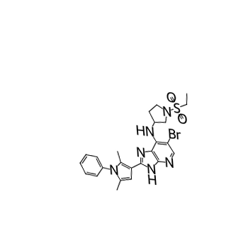 CCS(=O)(=O)N1CCC(Nc2c(Br)cnc3[nH]c(-c4cc(C)n(-c5ccccc5)c4C)nc23)C1